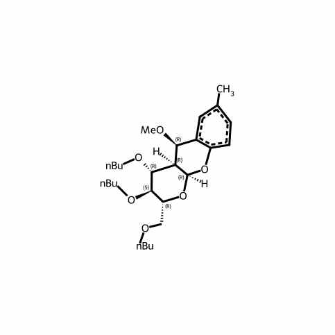 CCCCOC[C@H]1O[C@@H]2Oc3ccc(C)cc3[C@H](OC)[C@@H]2[C@@H](OCCCC)[C@@H]1OCCCC